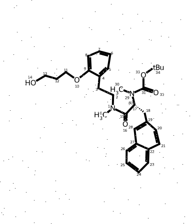 CN(CCc1ccccc1OCCCO)C(=O)[C@@H](Cc1ccc2ccccc2c1)N(C)C(=O)OC(C)(C)C